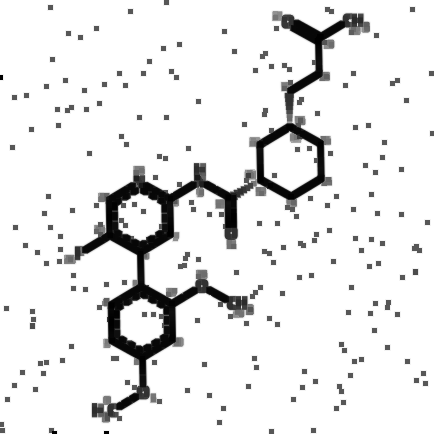 COc1ccc(-c2cc(NC(=O)[C@H]3CCC[C@@H](CCC(C)=O)C3)ncc2F)c(OC)c1